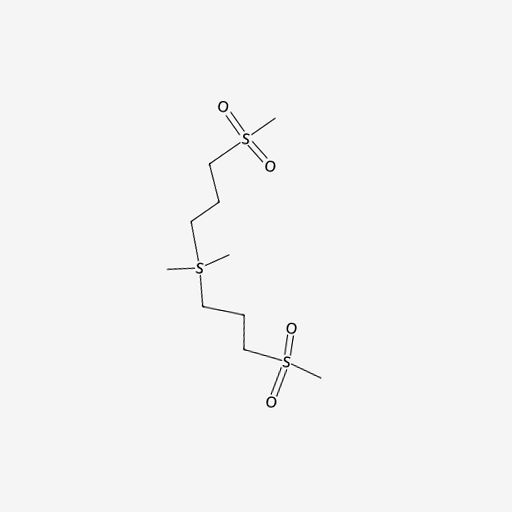 CS(C)(CCCS(C)(=O)=O)CCCS(C)(=O)=O